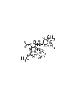 CCn1ncc2c(NC3CCOCC3)c(C(=O)NCc3ccc(C)c(C)c3)c(CC3CC3)nc21